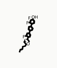 C/C=C/CCC1CCC(c2ccc(-c3ccc(-c4ccc(O)c(F)c4F)cc3)cc2F)CO1